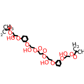 C=C(C)C(=O)OCC(O)COc1cccc(OCC(O)COC(=O)CC(=O)OCC(O)COc2cccc(OCC(O)COC(=O)C(=C)C)c2)c1